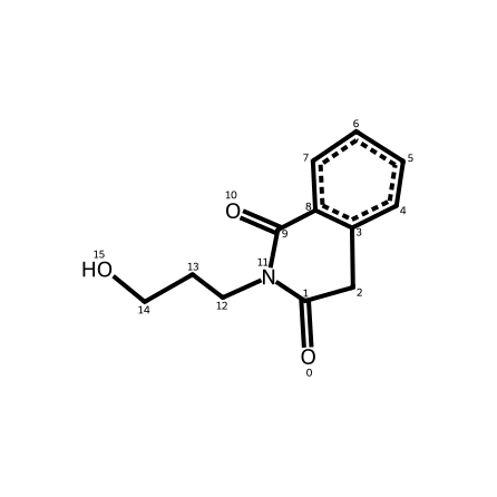 O=C1Cc2ccccc2C(=O)N1CCCO